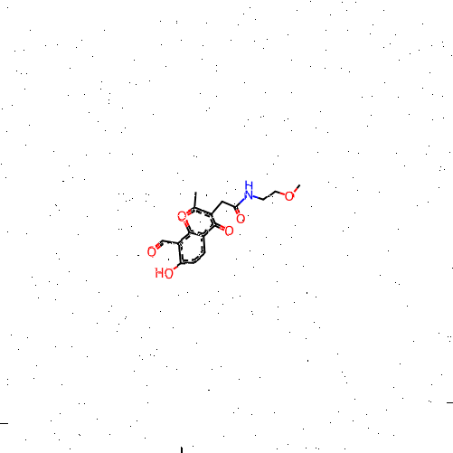 COCCNC(=O)Cc1c(C)oc2c(C=O)c(O)ccc2c1=O